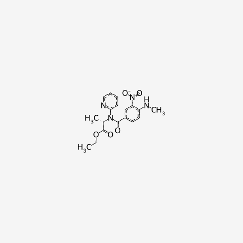 CCOC(=O)[C@H](C)N(C(=O)c1ccc(NC)c([N+](=O)[O-])c1)c1ccccn1